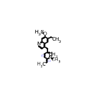 C=C(/C=C\C(=C/C)NC)Cc1ccnc2cc(OC)c(CC)cc12